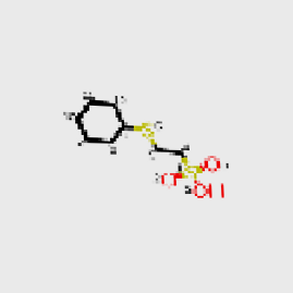 O=S(=O)(O)CCSC1CCCCC1